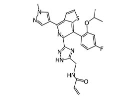 C=CC(=O)NCc1nc(-c2nc(-c3cnn(C)c3)c3ccsc3c2-c2ccc(F)cc2OC(C)C)n[nH]1